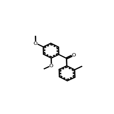 COc1ccc(C(=O)c2ccccc2C)c(OC)c1